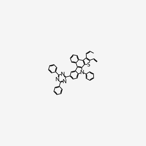 C=Cc1sc2c(c1/C=C\C)c1ccccc1c1c3cc(-c4nc(-c5ccccc5)nc(-c5ccccc5)n4)ccc3n(-c3ccccc3)c21